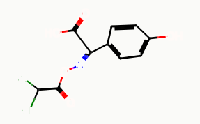 O=C(O)C(=NOC(=O)C(Cl)Cl)c1ccc(O)cc1